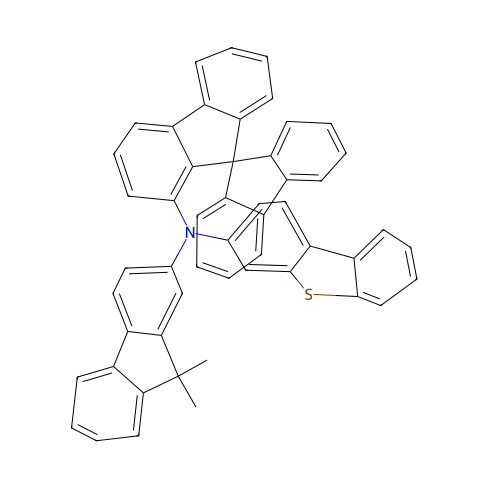 CC1(C)c2ccccc2-c2ccc(N(c3ccc4c(c3)sc3ccccc34)c3cccc4c3C3(c5ccccc5-c5ccccc53)c3ccccc3-4)cc21